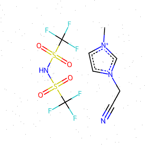 C[n+]1ccn(CC#N)c1.O=S(=O)(NS(=O)(=O)C(F)(F)F)C(F)(F)F